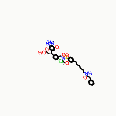 COc1cc([C@@H](CC(=O)O)c2ccc(Cl)c(CN3C[C@@H](C)Oc4cc(CCCCCCNC(=O)Cc5ccccc5)ccc4S3(=O)=O)c2)cc2nnn(C)c12